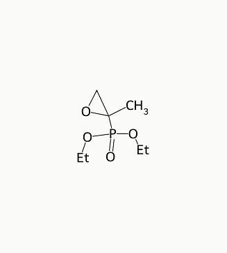 CCOP(=O)(OCC)C1(C)CO1